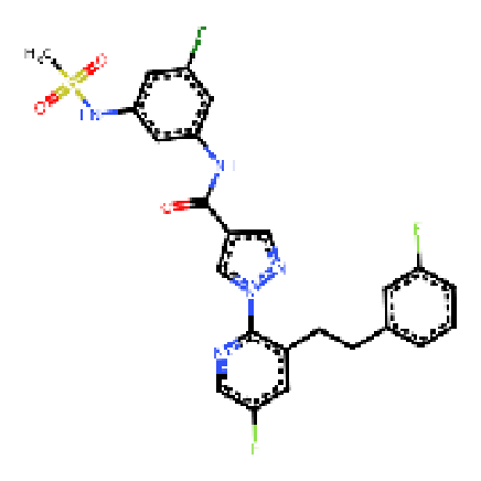 CS(=O)(=O)Nc1cc(Cl)cc(NC(=O)c2cnn(-c3ncc(F)cc3CCc3cccc(F)c3)c2)c1